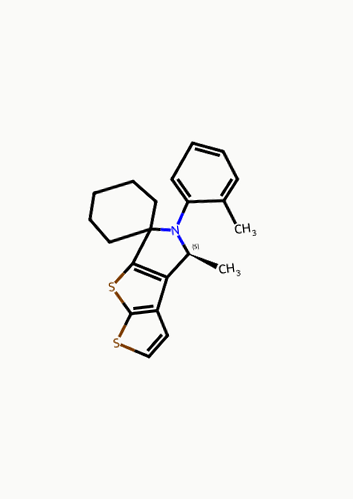 Cc1ccccc1N1[C@@H](C)c2c(sc3sccc23)C12CCCCC2